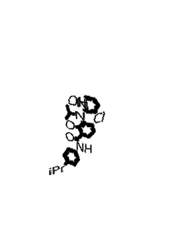 CC(C)c1ccc(NC(=O)c2cccc3c2OCC(CO)N3c2ncccc2Cl)cc1